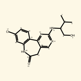 CC(C)C(CO)Nc1ncc2c(n1)-c1ccc(Cl)cc1NC(=O)C2